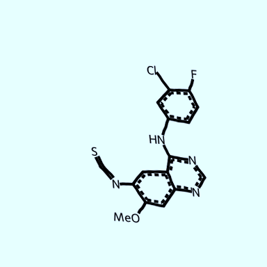 COc1cc2ncnc(Nc3ccc(F)c(Cl)c3)c2cc1N=C=S